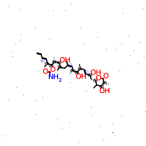 C=C/C=C/[C@H](C)[C@@H](OC(N)=O)[C@H](C)[C@@H](O)[C@H](C)C/C(C)=C\[C@@H](C)[C@H](O)[C@@H](C)/C=C/[C@@H](O)C[C@@H]1OC(=O)[C@H](C)[C@@H](O)C1C